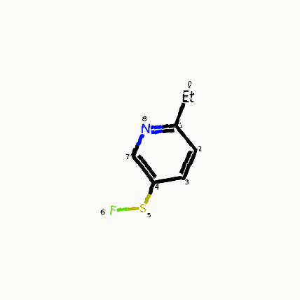 CCc1ccc(SF)cn1